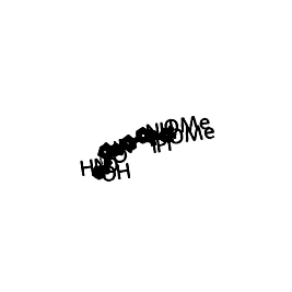 COc1ccc(-c2[nH]c3ccc(C4CCN(C(=O)CN5CCC[C@H](C(=O)NC6(CO)CCCC6)C5)CC4)cc3c2C(C)C)cc1OC